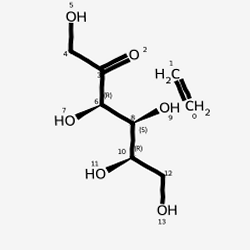 C=C.O=C(CO)[C@H](O)[C@@H](O)[C@H](O)CO